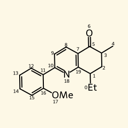 CCC1CC(C)C(=O)c2ccc(-c3ccccc3OC)nc21